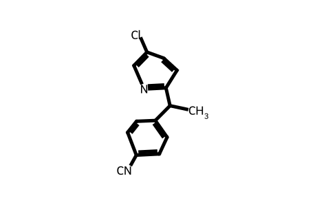 [C-]#[N+]c1ccc(C(C)c2ccc(Cl)cn2)cc1